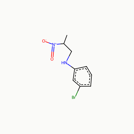 CC(CNc1cccc(Br)c1)[N+](=O)[O-]